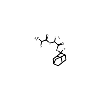 CCC1(OC(=O)C(C)OC(=O)C(C)Br)C2CC3CC(C2)CC1C3